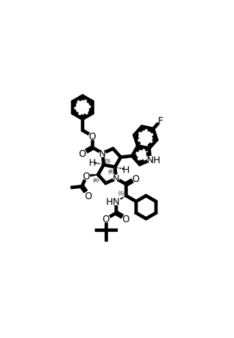 CC(=O)O[C@@H]1CN(C(=O)[C@@H](NC(=O)OC(C)(C)C)C2CCCCC2)[C@@H]2C(c3c[nH]c4cc(F)ccc34)CN(C(=O)OCc3ccccc3)[C@@H]21